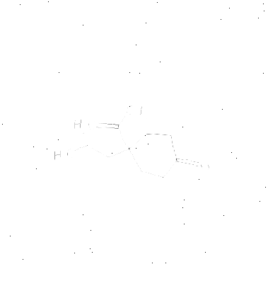 C=C(C)C1(CCC)CCC(=O)CC1